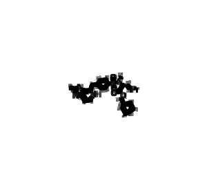 Cc1nc2cc[nH]c(Cc3ccc(S(=O)(=O)N(C)[C@@H](CC(C)C)C(=O)OCc4ccccc4)cc3)c-2n1